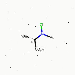 CCCC[C@@H](C(=O)O)N(Cl)C(C)=O